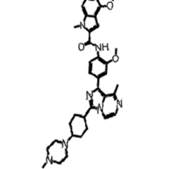 COc1cc(-c2nc(C3CCC(N4CCN(C)CC4)CC3)n3ccnc(C)c23)ccc1NC(=O)c1cc2c(OC)cccc2n1C